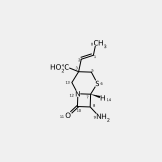 CC=CC1(C(=O)O)CS[C@@H]2C(N)C(=O)N2C1